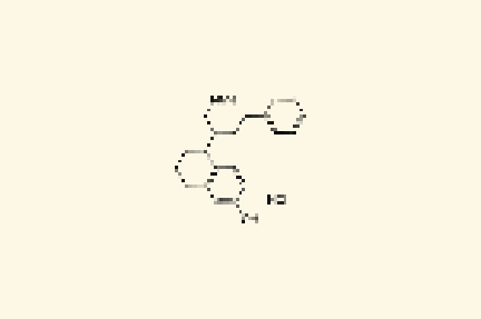 CNCC(CCc1ccccc1)C1CCCc2cc(O)ccc21.Cl